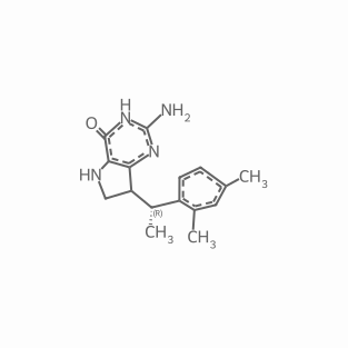 Cc1ccc([C@H](C)C2CNc3c2nc(N)[nH]c3=O)c(C)c1